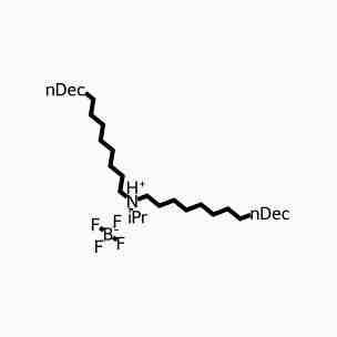 CCCCCCCCCCCCCCCCCC[NH+](CCCCCCCCCCCCCCCCCC)C(C)C.F[B-](F)(F)F